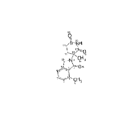 Cc1cccc2c1C(=O)N(C1(C)CCC(=O)NC1=O)C2